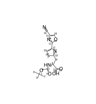 CC(C)(C)OC(=O)NC(Cc1nc(-c2nc(C#N)co2)cs1)C(=O)O